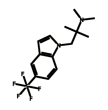 CN(C)C(C)(C)Cn1ccc2cc(S(F)(F)(F)(F)F)ccc21